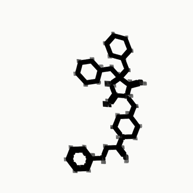 N=C1NC(CC2CCCCC2)(CC2CCCCC2)C(=O)N1CC1CCN(C(=O)COc2ccccc2)CC1